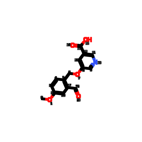 COc1ccc(COc2cncc(C(=O)O)c2)c(C=O)c1